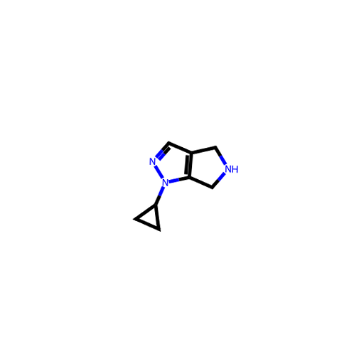 c1nn(C2CC2)c2c1CNC2